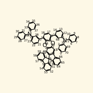 c1ccc(N(c2ccccc2)c2cccc(-c3ccc(-c4cccc(N(c5ccccc5)c5ccccc5)c4)c4c3Oc3cc5c(cc3O4)C3(c4ccccc4-c4ccccc43)c3ccccc3-5)c2)cc1